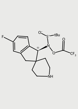 CC(C)(C)[S+]([O-])N(OC(=O)C(F)(F)F)[C@@H]1c2ccc(F)cc2CC12CCNCC2